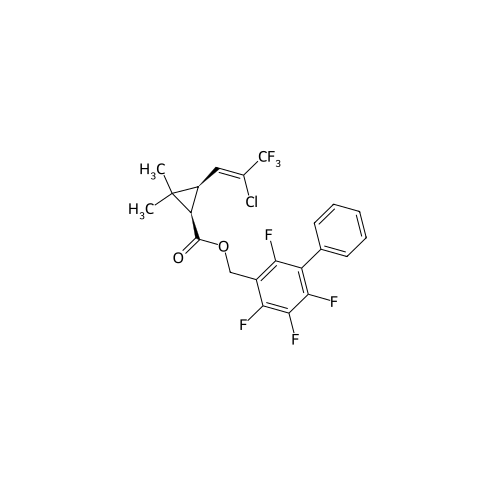 CC1(C)[C@H](C(=O)OCc2c(F)c(F)c(F)c(-c3ccccc3)c2F)[C@@H]1C=C(Cl)C(F)(F)F